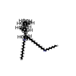 CCCCCCCC/C=C\CCCCCCCCCCCCCC(=O)N[C@@H](CO[C@@H]1O[C@H](CO)[C@@H](O[C@@H]2O[C@H](CO)[C@H](O)[C@H](O)[C@H]2O)[C@H](O)C1O)[C@H](O)/C=C/CCCCCCCCCCCCC